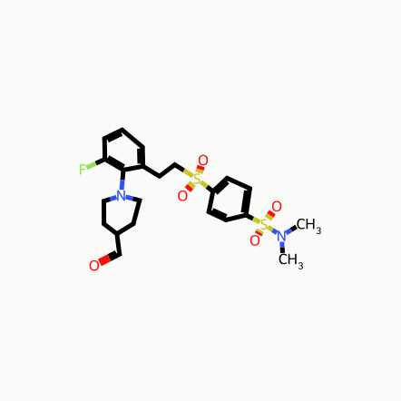 CN(C)S(=O)(=O)c1ccc(S(=O)(=O)CCc2cccc(F)c2N2CCC(C=O)CC2)cc1